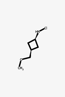 COC[C@H]1C[C@@H](NCl)C1